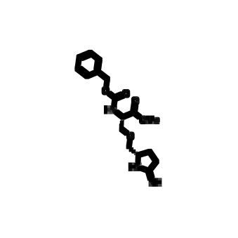 COC(=O)[C@H](COC[C@@H]1CCC(=N)N1)NC(=O)OCc1ccccc1